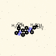 CC(C)(C)c1ccc(-c2nc(-c3cccc(-c4ccccc4-c4ccccc4-c4cccc(-c5nc(-c6ccc(C(C)(C)C)cc6)c6ccccc6n5)c4)c3)nc3ccccc23)cc1